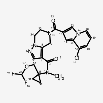 CN(C(=O)c1cnn2c1CN(C(=O)c1cc3c(Cl)cccn3c1)CC2)C1(COC(F)F)CC1